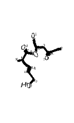 CC(=O)CC(=O)OC(=O)C(C)=CCCO